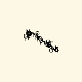 O=C(NCc1cncc(C(F)(F)F)c1)c1cn(CC(F)CCn2ccc(NC(=O)C3CCCC3)c(F)c2=O)nn1